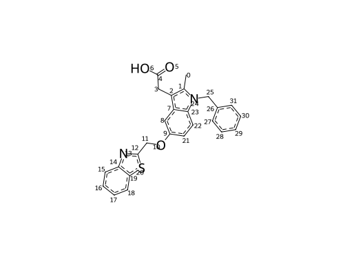 Cc1c(CC(=O)O)c2cc(OCc3nc4ccccc4s3)ccc2n1Cc1ccccc1